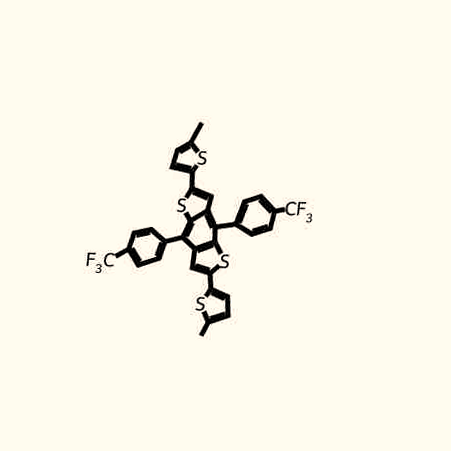 Cc1ccc(-c2cc3c(-c4ccc(C(F)(F)F)cc4)c4sc(-c5ccc(C)s5)cc4c(-c4ccc(C(F)(F)F)cc4)c3s2)s1